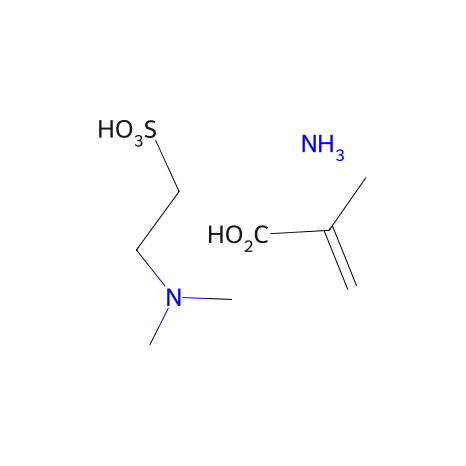 C=C(C)C(=O)O.CN(C)CCS(=O)(=O)O.N